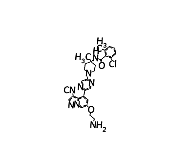 Cc1cccc(Cl)c1C(=O)NC1(C)CCN(c2cnc(-c3cc(OCCN)cn4ncc(C#N)c34)cn2)CC1